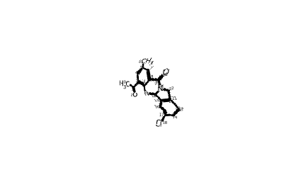 CC(=O)c1cc(C)cc2c(=O)n3c(nc12)-c1cc(Cl)ccc1C3